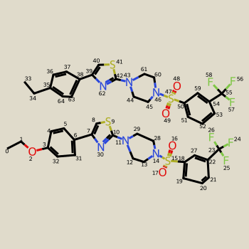 CCOc1ccc(-c2csc(N3CCN(S(=O)(=O)c4cccc(C(F)(F)F)c4)CC3)n2)cc1.CCc1ccc(-c2csc(N3CCN(S(=O)(=O)c4cccc(C(F)(F)F)c4)CC3)n2)cc1